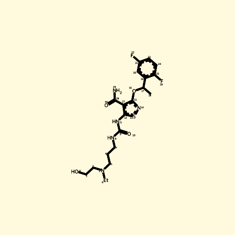 CCN(CCO)CCCNC(=O)Nc1snc(OC(C)c2cc(F)ccc2F)c1C(N)=O